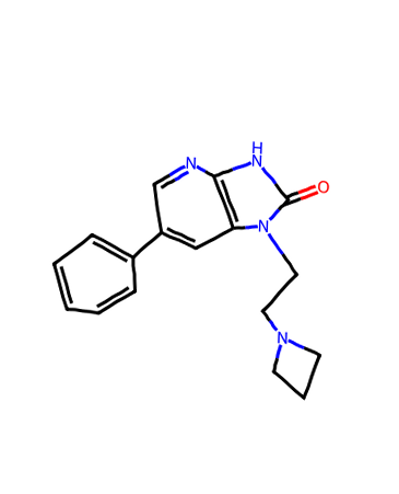 O=c1[nH]c2ncc(-c3ccccc3)cc2n1CCN1CCC1